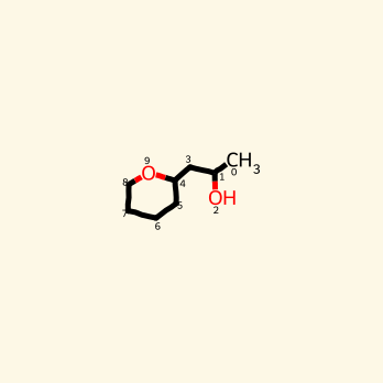 CC(O)CC1CCCCO1